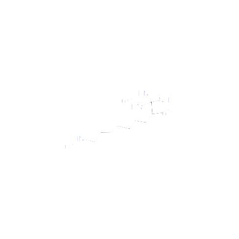 CCCNCCCCCCCC(CCC)C(N)(N)NCCC